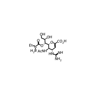 BN(CC)C(=O)O[C@@H]([C@@H]1OC(C(=O)O)=C[C@H](NC(=N)N)[C@H]1NC(C)=O)[C@H](O)CO